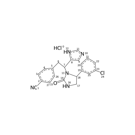 Cl.N#Cc1ccc(CC(c2cnc[nH]2)N2C(=O)NCC2c2cccc(Cl)c2)cc1